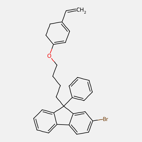 C=CC1=CC=C(OCCCCC2(c3ccccc3)c3ccccc3-c3ccc(Br)cc32)CC1